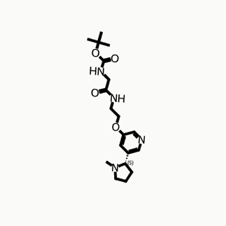 CN1CCC[C@H]1c1cncc(OCCNC(=O)CNC(=O)OC(C)(C)C)c1